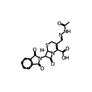 CC(=O)N/N=C/C1=C(C(=O)O)N2C(=O)C(N3C(=O)c4ccccc4C3=O)[C@H]2SC1